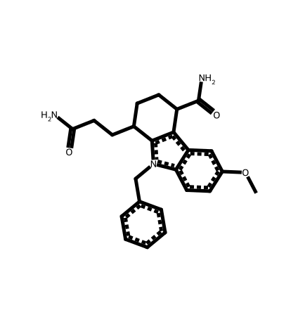 COc1ccc2c(c1)c1c(n2Cc2ccccc2)C(CCC(N)=O)CCC1C(N)=O